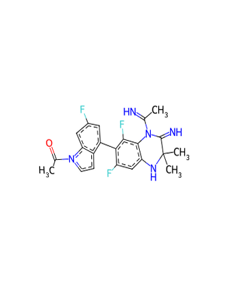 CC(=N)N1C(=N)C(C)(C)Nc2cc(F)c(-c3cc(F)cc4c3ccn4C(C)=O)c(F)c21